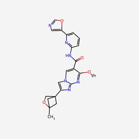 CC(C)Oc1nc2nc(C34COC(C)(C3)C4)cn2cc1C(=O)Nc1cccc(-c2cnco2)n1